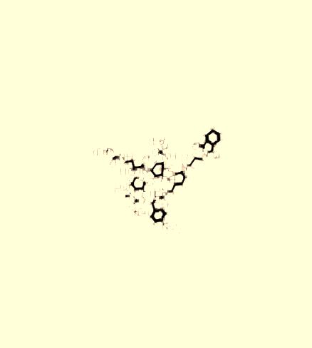 CN(C(=O)OC(C)(C)C)[C@@H]1[C@@H](O)[C@@H](O[C@@H]2[C@@H](O)[C@H](O[C@H]3OC(CNC(=O)OCc4ccc([N+](=O)[O-])cc4)=CC[C@H]3NCCCN3C(=O)c4ccccc4C3=O)[C@@H](NC(=O)OC(C)(C)C)C[C@H]2NC(=O)[C@@H](O)CCNC(=O)OC(C)(C)C)OC[C@]1(C)O